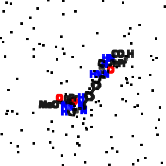 CCC[C@H](NC(=O)O)C(=O)N1CCC[C@H]1c1ncc(-c2ccc(-c3ccc(-c4cnc([C@@H]5CCCN5C(=O)[C@H](CCC)NC(=O)OC)[nH]4)cc3)cc2)[nH]1